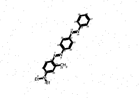 CCN(CC)c1ccc(N=Nc2ccc(N=Nc3ccccc3)cc2)c(C)c1